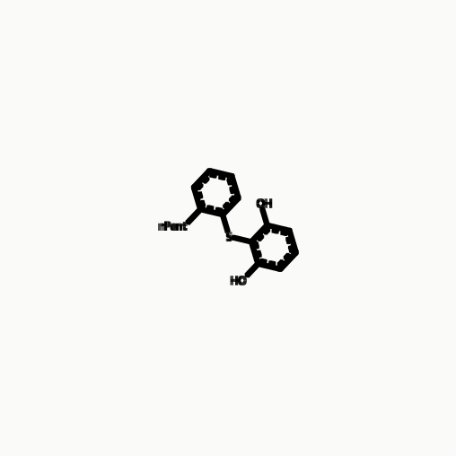 CCCCCc1ccccc1Sc1c(O)cccc1O